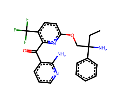 CCC(N)(COc1ccc(C(F)(F)F)c(C(=O)c2cccnc2N)n1)c1ccccc1